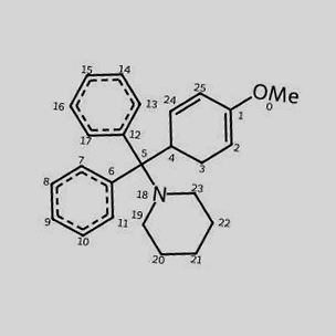 COC1=CCC(C(c2ccccc2)(c2ccccc2)N2CCCCC2)C=C1